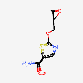 NC(=O)c1cnc(OCC2CO2)s1